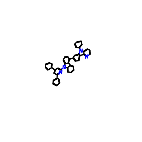 c1ccc(-c2cc(-c3ccccc3)nc(-n3c4ccccc4c4c(-c5ccc6c7ncccc7n(-c7ccccc7)c6c5)cccc43)c2)cc1